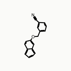 N#Cc1cccc(COc2ccc3ccccc3c2)c1